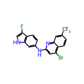 Fc1c[nH]c2cc(Nc3cc(Br)c4ccc(C(F)(F)F)cc4n3)ccc12